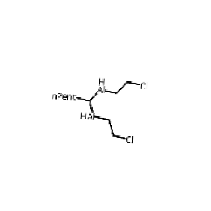 CCCCC[CH]([AlH][CH2]CCl)[AlH][CH2]CCl